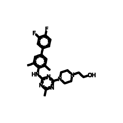 Cc1nc(Nc2c(C)cc(-c3ccc(F)c(F)c3)cc2C)nc(N2CCN(CCO)CC2)n1